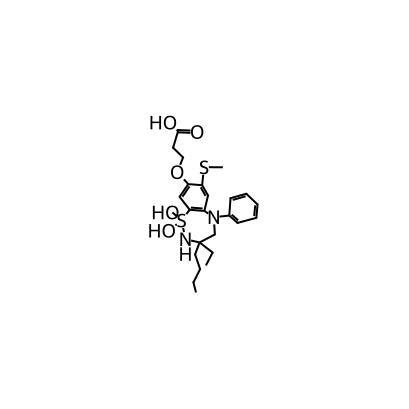 CCCCC1(CC)CN(c2ccccc2)c2cc(SC)c(OCCC(=O)O)cc2S(O)(O)N1